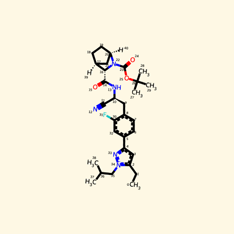 CCc1cc(-c2ccc(C[C@@H](C#N)NC(=O)[C@@H]3[C@H]4CC[C@H](C4)N3C(=O)OC(C)(C)C)c(F)c2)nn1CC(C)C